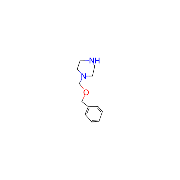 c1ccc(COCN2CCNCC2)cc1